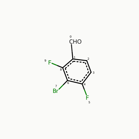 O=Cc1ccc(F)c(Br)c1F